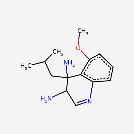 COc1cccc2c1C(N)(CC(C)C)C(N)C=N2